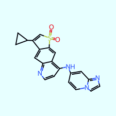 O=S1(=O)C=C(C2CC2)c2cc3nccc(Nc4ccn5ccnc5c4)c3cc21